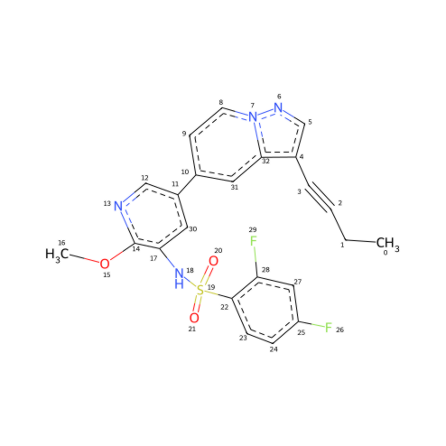 CCC#Cc1cnn2ccc(-c3cnc(OC)c(NS(=O)(=O)c4ccc(F)cc4F)c3)cc12